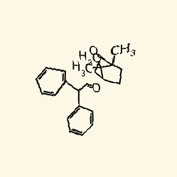 CC12CCC(CC1=O)C2(C)C.O=CC(c1ccccc1)c1ccccc1